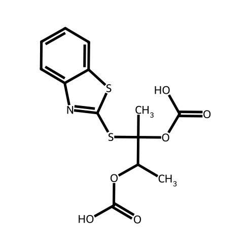 CC(OC(=O)O)C(C)(OC(=O)O)Sc1nc2ccccc2s1